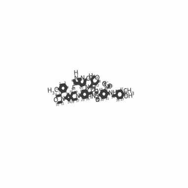 Cc1ccccc1[C@@H]1COCCN1C1CC2(CCN(c3ccc(C(=O)NS(=O)(=O)c4ccc(NCC5CCC(C)(O)CC5)c([N+](=O)[O-])c4)c(N4C[C@H]5CCOC[C@@H]5Oc5nc6[nH]cc(F)c6cc54)c3)CC2)C1